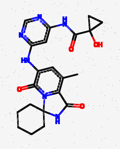 Cc1cc(Nc2cc(NC(=O)C3(O)CC3)ncn2)c(=O)n2c1C(=O)NC21CCCCC1